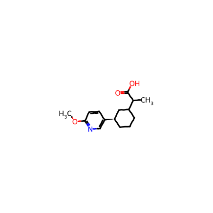 COc1ccc([C@@H]2CCCC(C(C)C(=O)O)C2)cn1